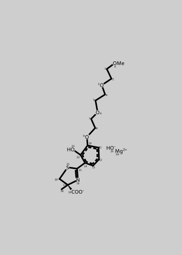 COCCOCCOCCOc1cccc(C2=N[C@@](C)(C(=O)[O-])CS2)c1O.[Mg+2].[OH-]